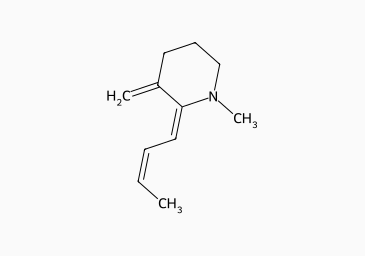 C=C1CCCN(C)/C1=C/C=C\C